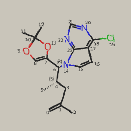 C=C(C)C[C@H](C)[C@H](C1=COC(C)(C)O1)n1ccc2c(Cl)ncnc21